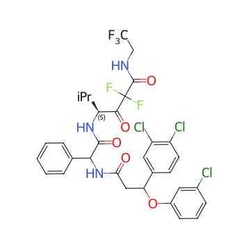 CC(C)[C@H](NC(=O)C(NC(=O)CC(Oc1cccc(Cl)c1)c1ccc(Cl)c(Cl)c1)c1ccccc1)C(=O)C(F)(F)C(=O)NCC(F)(F)F